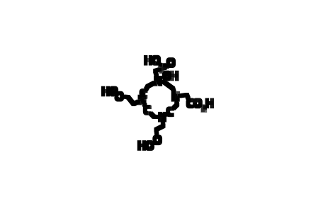 O=C(O)CN1CCN(CCOO)CCN(CCOO)CCN(CP(=O)(O)O)CC1